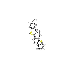 CCc1cc2c(cc1C)sc1c2ccc2c1ccc1c3cc(C)c(C)cc3sc12